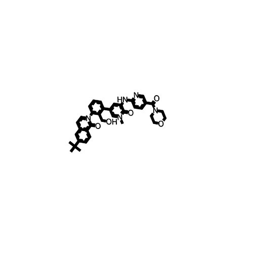 Cn1cc(-c2cccc(-n3ccc4cc(C(C)(C)C)ccc4c3=O)c2CO)cc(Nc2ccc(C(=O)N3CCOCC3)cn2)c1=O